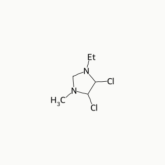 CCN1CN(C)C(Cl)C1Cl